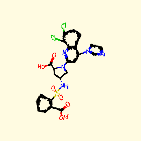 O=C(O)c1ccccc1S(=O)(=O)N[C@@H]1C[C@@H](C(=O)O)N(c2cc(-n3ccnc3)c3ccc(Cl)c(Cl)c3n2)C1